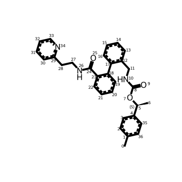 Cc1ccc([C@H](C)OC(=O)NCc2ccccc2-c2ccccc2C(=O)NCCc2ccccn2)cc1